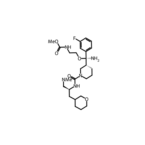 CNC[C@H](CC1CCCOC1)NC(=O)N1CCC[C@@H]([C@@](N)(OCCNC(=O)OC)c2cccc(F)c2)C1